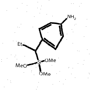 CCC(c1ccc(N)cc1)[Si](OC)(OC)OC